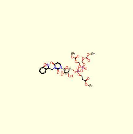 CC(C)OC(=O)CCOP(=O)(OC[C@H]1O[C@@H](n2ccc(=O)n(Cc3noc4ccccc34)c2=O)[C@@H](O)C1O)OP(=O)(OCOC(=O)OC(C)C)OCOC(=O)OC(C)C